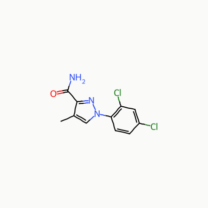 Cc1cn(-c2ccc(Cl)cc2Cl)nc1C(N)=O